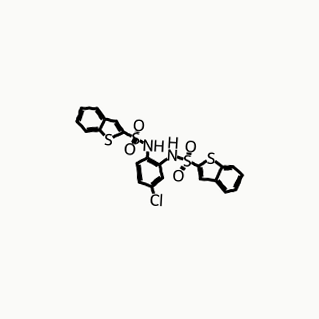 O=S(=O)(Nc1ccc(Cl)cc1NS(=O)(=O)c1cc2ccccc2s1)c1cc2ccccc2s1